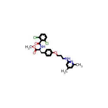 COC(=O)[C@H](Cc1ccc(OCCCNc2cc(C)cc(C)n2)cc1)NC(=O)c1c(Cl)cccc1Cl